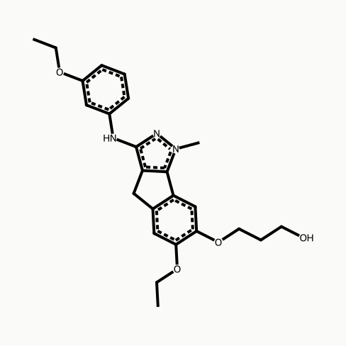 CCOc1cccc(Nc2nn(C)c3c2Cc2cc(OCC)c(OCCCO)cc2-3)c1